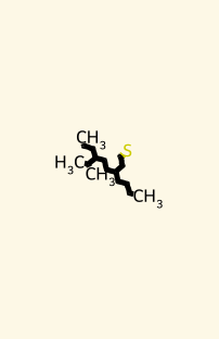 CCCCC(CC=S)CCC(CCC)C(C)C